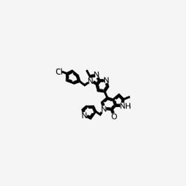 Cc1cc2c(-c3cnc4nc(C)n(Cc5ccc(Cl)cc5)c4c3)cn(Cc3cccnc3)c(=O)c2[nH]1